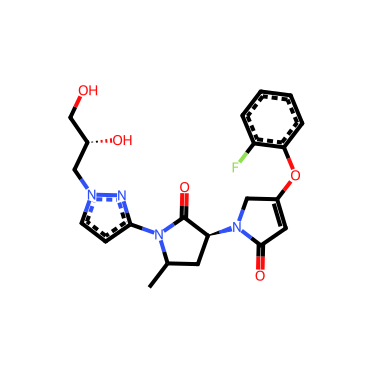 CC1C[C@H](N2CC(Oc3ccccc3F)=CC2=O)C(=O)N1c1ccn(C[C@@H](O)CO)n1